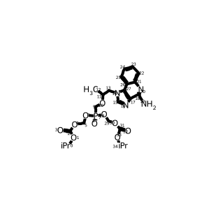 CC(C)OC(=O)OCOP(=O)(COC(C)Cn1cnc2c(N)nc3ccccc3c21)OCOC(=O)OC(C)C